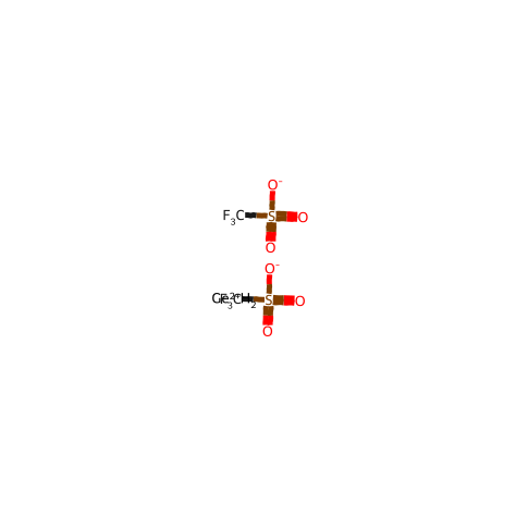 O=S(=O)([O-])C(F)(F)F.O=S(=O)([O-])C(F)(F)F.[GeH2+2]